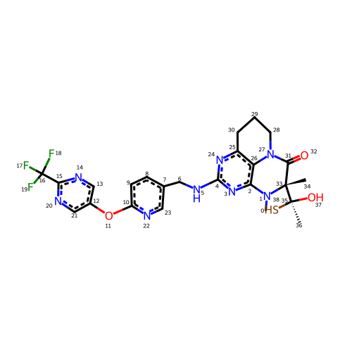 CN1c2nc(NCc3ccc(Oc4cnc(C(F)(F)F)nc4)nc3)nc3c2N(CCC3)C(=O)[C@]1(C)[C@@](C)(O)S